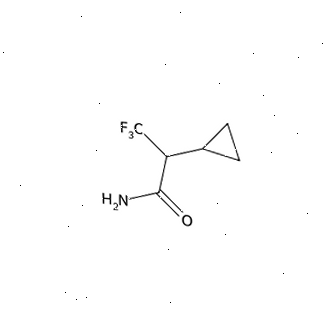 NC(=O)C(C1CC1)C(F)(F)F